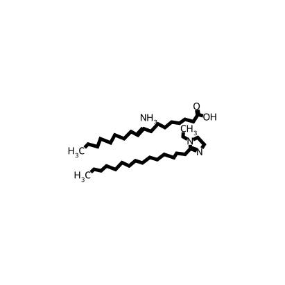 CCCCCCCCC=CCCCCCCCC(=O)O.CCCCCCCCCCCCCCCC1=NCCN1CC.N